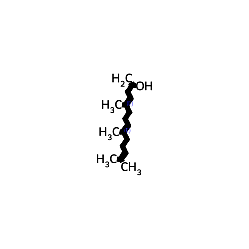 C=C(O)C/C=C(\C)CC/C=C(\C)CCC=C(C)C